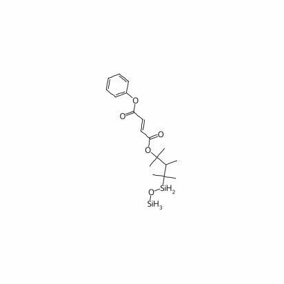 CC(C(C)(C)OC(=O)C=CC(=O)Oc1ccccc1)C(C)(C)[SiH2]O[SiH3]